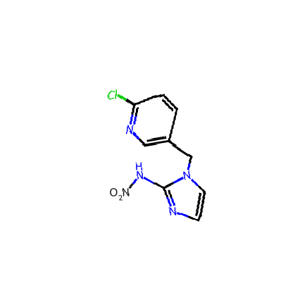 O=[N+]([O-])Nc1nccn1Cc1ccc(Cl)nc1